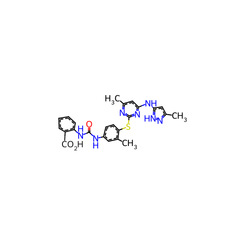 Cc1cc(Nc2cc(C)nc(Sc3ccc(NC(=O)Nc4ccccc4C(=O)O)cc3C)n2)[nH]n1